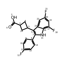 O=C(O)C1CC(c2c(-c3ccc(F)cc3)[nH]c3c(F)cc(F)cc23)C1